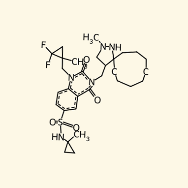 CN1CC(Cn2c(=O)c3cc(S(=O)(=O)NC4(C)CC4)ccc3n(CC3(C)CC3(F)F)c2=O)C2(CCCCCCCC2)N1